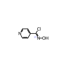 O/N=C(\Cl)c1ccncc1